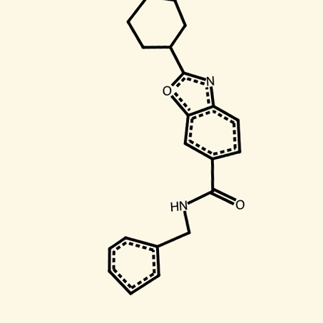 O=C(NCc1ccccc1)c1ccc2nc(C3CCCCC3)oc2c1